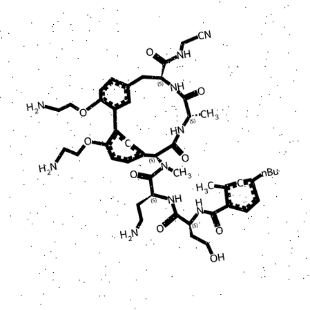 CCCCc1ccc(C(=O)N[C@@H](CCO)C(=O)N[C@@H](CCN)C(=O)N(C)[C@@H]2C(=O)N[C@@H](C)C(=O)N[C@H](C(=O)NCC#N)Cc3ccc(OCCN)c(c3)-c3cc2ccc3OCCN)c(C)c1